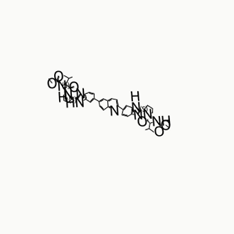 COC(=O)NC(C(=O)N1CCC[C@H]1c1nc2ccc(-c3ccc4cc(-c5ccc6nc([C@@H]7CCCN7C(=O)[C@@H](NC(=O)OC)C(C)C)[nH]c6c5)ccc4n3)cc2[nH]1)C(C)C